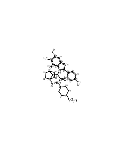 O=C(O)C1CCC(NC(=O)C(C2[C@H]3CC[C@H]2CC3)n2c(-c3ccc(Cl)cc3)nc3cc(F)c(F)cc32)CC1